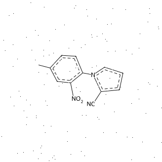 Cc1ccc(-n2cccc2C#N)c([N+](=O)[O-])c1